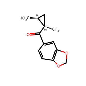 C[C@@]1(C(=O)c2ccc3c(c2)OCO3)C[C@@H]1C(=O)O